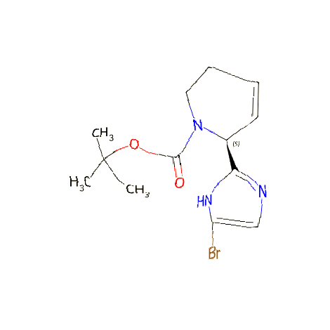 CC(C)(C)OC(=O)N1CCC=C[C@H]1c1ncc(Br)[nH]1